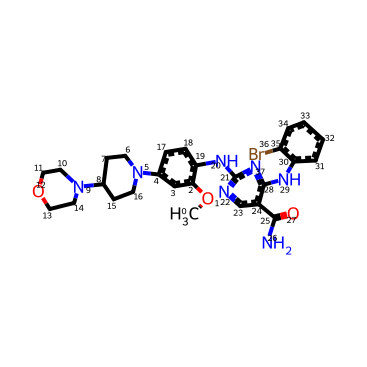 COc1cc(N2CCC(N3CCOCC3)CC2)ccc1Nc1ncc(C(N)=O)c(Nc2ccccc2Br)n1